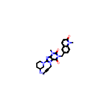 CC#CCn1c(N2CCCC(N)C2)nc2c1c(=O)n(Cc1ccc3c(ccc(=O)n3C)c1)c(=O)n2C